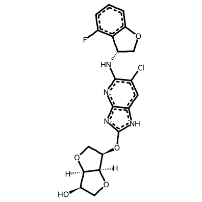 O[C@@H]1CO[C@H]2[C@@H]1OC[C@H]2Oc1nc2nc(N[C@H]3COc4cccc(F)c43)c(Cl)cc2[nH]1